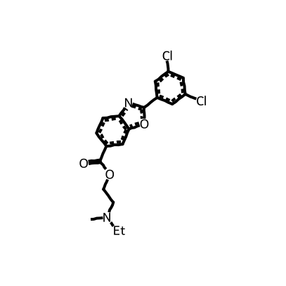 CCN(C)CCOC(=O)c1ccc2nc(-c3cc(Cl)cc(Cl)c3)oc2c1